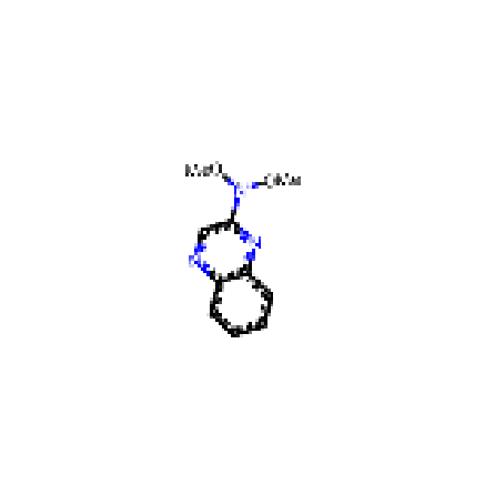 CO[N+](OC)c1cnc2ccccc2n1